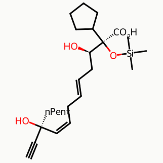 C#C[C@@](O)(/C=C\C/C=C/C[C@@H](O)[C@@](O[Si](C)(C)C)(C(=O)O)C1CCCC1)CCCCC